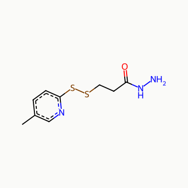 Cc1ccc(SSCCC(=O)NN)nc1